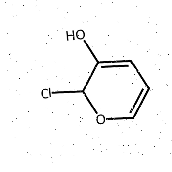 OC1=CC=COC1Cl